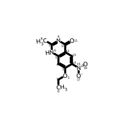 CCOc1cc2[nH]c(C)nc(=O)c2cc1[N+](=O)[O-]